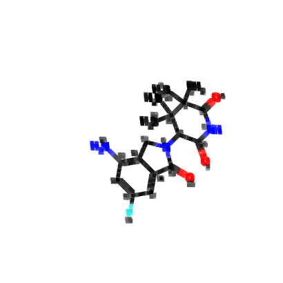 BC1(B)C(=O)NC(=O)C(N2Cc3c(N)cc(F)cc3C2=O)C1(B)B